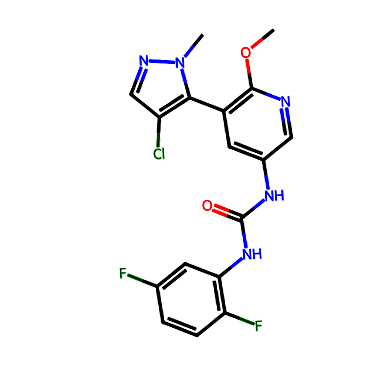 COc1ncc(NC(=O)Nc2cc(F)ccc2F)cc1-c1c(Cl)cnn1C